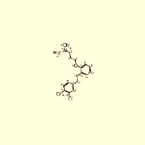 CN(C)CCCOc1ccccc1CCc1ccc(Cl)c(Cl)c1